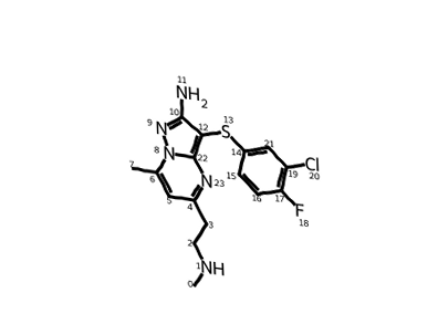 CNCCc1cc(C)n2nc(N)c(Sc3ccc(F)c(Cl)c3)c2n1